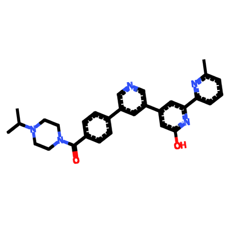 Cc1cccc(-c2cc(-c3cncc(-c4ccc(C(=O)N5CCN(C(C)C)CC5)cc4)c3)cc(O)n2)n1